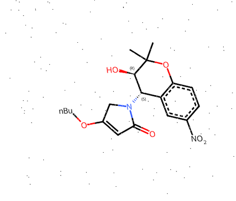 CCCCOC1=CC(=O)N([C@H]2c3cc([N+](=O)[O-])ccc3OC(C)(C)[C@@H]2O)C1